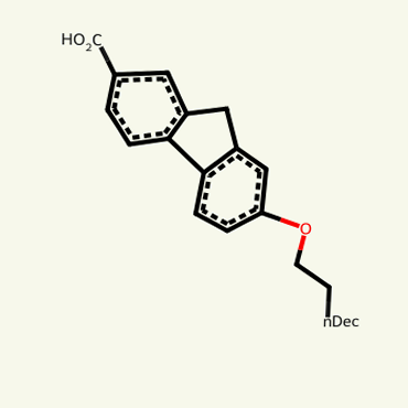 CCCCCCCCCCCCOc1ccc2c(c1)Cc1cc(C(=O)O)ccc1-2